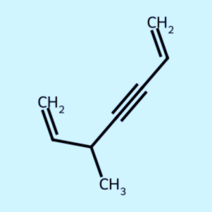 C=CC#CC(C)C=C